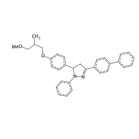 COCC(C)COc1ccc(C2CC(c3ccc(-c4ccccc4)cc3)=NN2c2ccccc2)cc1